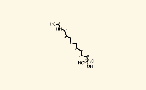 CCNCCCCCCCCC[Si](O)(O)O